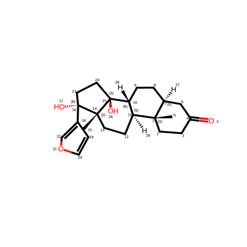 C[C@]12CCC(=O)C[C@@H]1CC[C@@H]1[C@@H]2CC[C@]2(C)[C@@](O)(c3ccoc3)CC[C@]12O